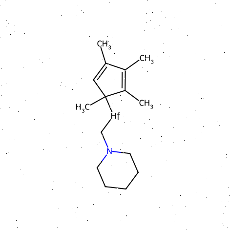 CC1=C[C](C)([Hf][CH2]N2CCCCC2)C(C)=C1C